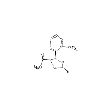 COC(=O)[C@@H]1O[C@H](C)O[C@@H]1c1ccccc1[N+](=O)[O-]